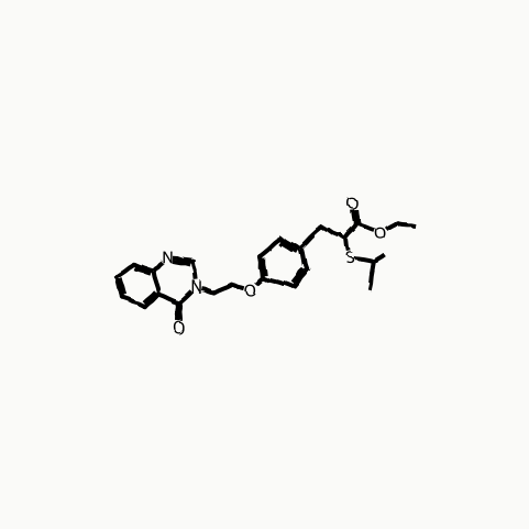 CCOC(=O)C(Cc1ccc(OCCn2cnc3ccccc3c2=O)cc1)SC(C)C